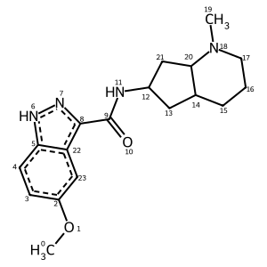 COc1ccc2[nH]nc(C(=O)NC3CC4CCCN(C)C4C3)c2c1